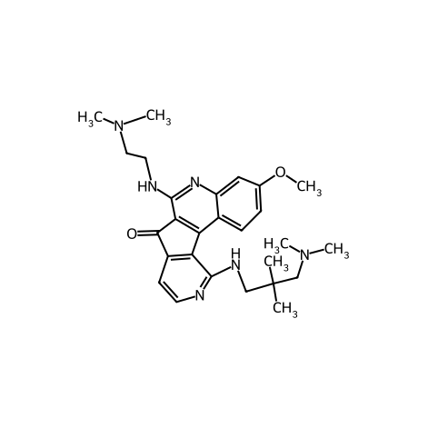 COc1ccc2c3c(c(NCCN(C)C)nc2c1)C(=O)c1ccnc(NCC(C)(C)CN(C)C)c1-3